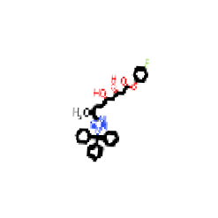 C=C(C=CC(O)CC(O)CC(=O)Oc1ccc(F)cc1)c1nnn(C(c2ccccc2)(c2ccccc2)c2ccccc2)n1